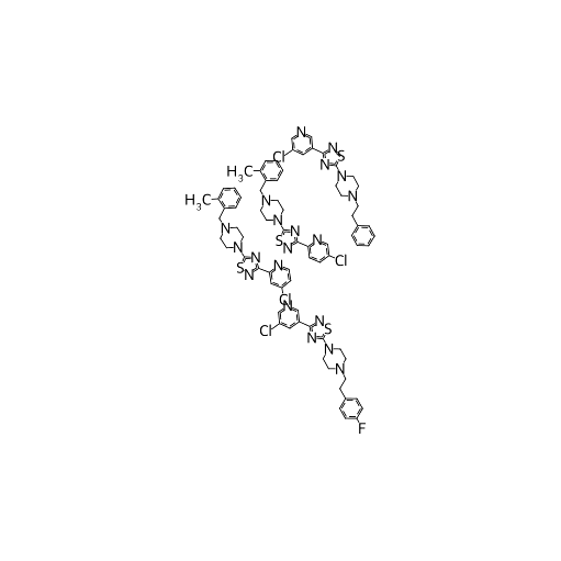 Cc1ccccc1CN1CCN(c2nc(-c3cc(Cl)ccn3)ns2)CC1.Cc1ccccc1CN1CCN(c2nc(-c3ccc(Cl)cn3)ns2)CC1.Clc1cncc(-c2nsc(N3CCN(CCc4ccccc4)CC3)n2)c1.Fc1ccc(CCN2CCN(c3nc(-c4cncc(Cl)c4)ns3)CC2)cc1